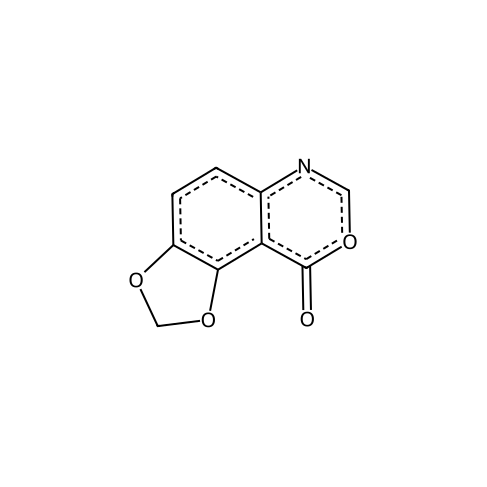 O=c1ocnc2ccc3c(c12)OCO3